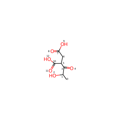 CC(O)C(=O)C(CC(=O)O)C(=O)O